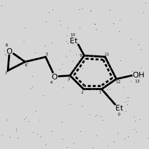 CCc1cc(OCC2CO2)c(CC)cc1O